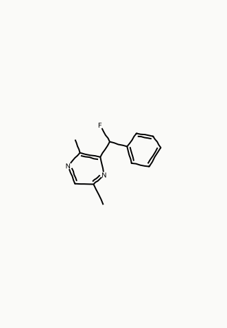 Cc1cnc(C)c(C(F)c2ccccc2)n1